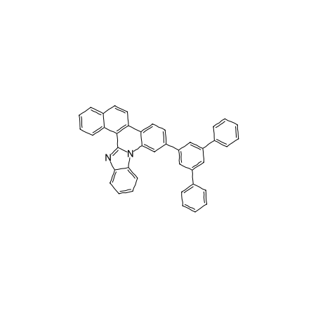 c1ccc(-c2cc(-c3ccccc3)cc(-c3ccc4c5ccc6ccccc6c5c5nc6ccccc6n5c4c3)c2)cc1